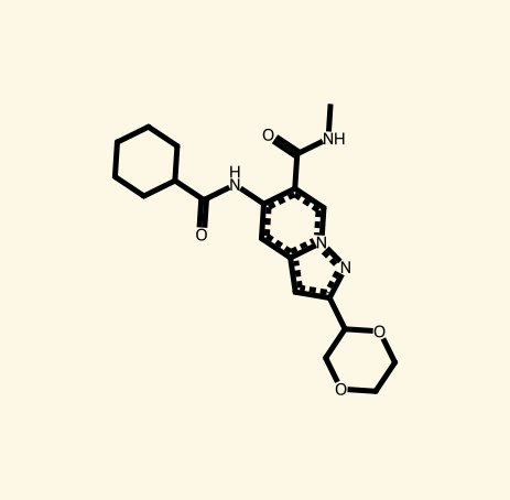 CNC(=O)c1cn2nc(C3COCCO3)cc2cc1NC(=O)C1CCCCC1